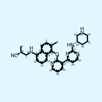 Cc1ccc2c(NC[C@H](C)C#N)cccc2c1Oc1ncccc1-c1ccnc(N[C@H]2CCCNC2)n1